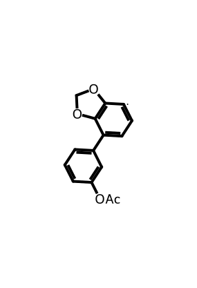 CC(=O)Oc1cccc(-c2cc[c]c3c2OCO3)c1